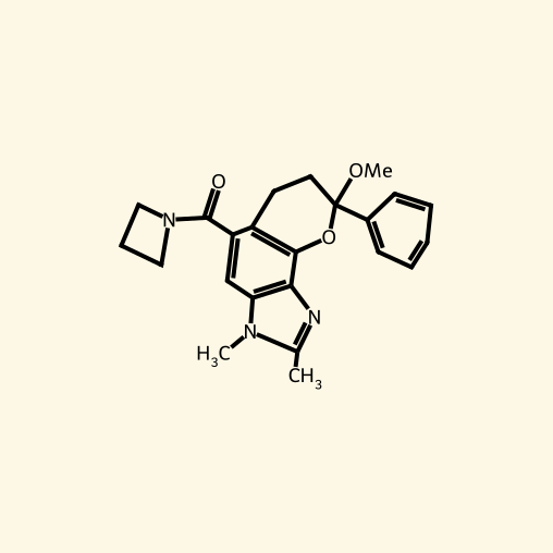 COC1(c2ccccc2)CCc2c(C(=O)N3CCC3)cc3c(nc(C)n3C)c2O1